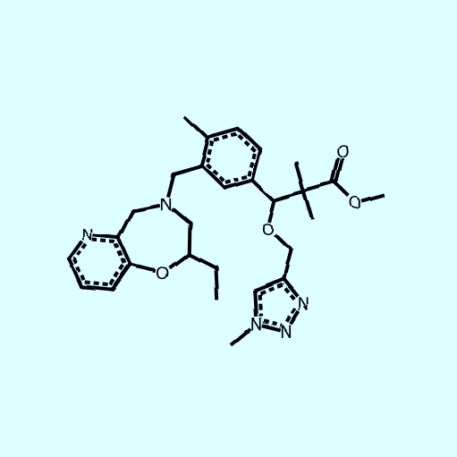 CCC1CN(Cc2cc(C(OCc3cn(C)nn3)C(C)(C)C(=O)OC)ccc2C)Cc2ncccc2O1